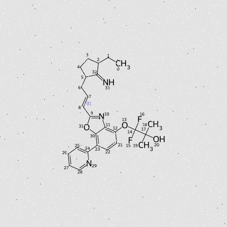 CCC1CCC(C/C=C/c2nc3c(OC(F)(F)C(C)(C)O)ccc(-c4ccccn4)c3o2)C1=N